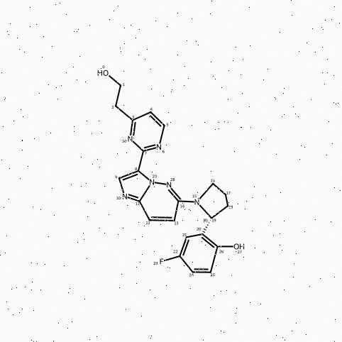 OCCc1ccnc(-c2cnc3ccc(N4CCC[C@@H]4c4cc(F)ccc4O)nn23)n1